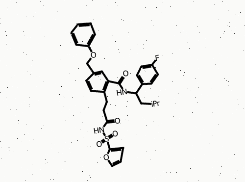 CC(C)CC(NC(=O)c1cc(COc2ccccc2)ccc1CCC(=O)NS(=O)(=O)c1ccco1)c1ccc(F)cc1